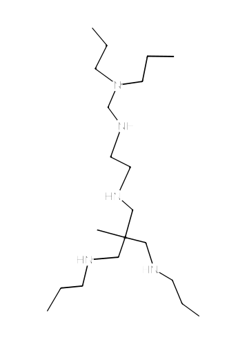 CCCNCC(C)(CNCCC)CNCCNCN(CCC)CCC